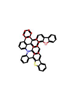 c1ccc(-c2ccccc2-c2c(-c3ccccc3)cccc2N(c2cccc(-c3cccc4c3oc3ccccc34)c2)c2ccccc2-c2cccc3c2sc2ccccc23)cc1